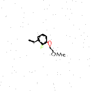 C=[C]c1cccc(OCCOC)c1F